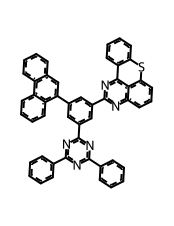 c1ccc(-c2nc(-c3ccccc3)nc(-c3cc(-c4nc5c6c(cccc6n4)Sc4ccccc4-5)cc(-c4cc5ccccc5c5ccccc45)c3)n2)cc1